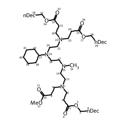 CCCCCCCCCCCOC(=O)CCN(CCC(=O)OC)CCN(C)CCN(CCN(CCC(=O)OCCCCCCCCCCC)CCC(=O)OCCCCCCCCCCC)C1CCCCC1